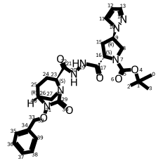 CC(C)(C)OC(=O)N1C[C@H](n2cccn2)C[C@H]1C(=O)NNC(=O)[C@@H]1CC[C@@H]2CN1C(=O)N2OCc1ccccc1